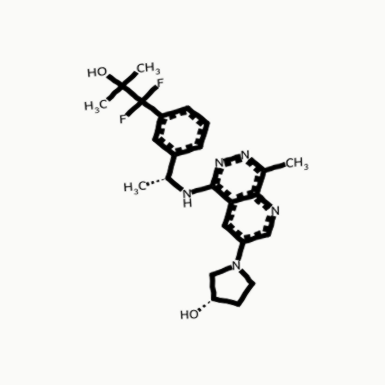 Cc1nnc(N[C@H](C)c2cccc(C(F)(F)C(C)(C)O)c2)c2cc(N3CC[C@H](O)C3)cnc12